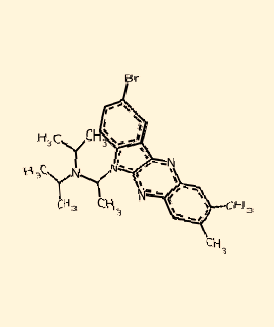 Cc1cc2nc3c4cc(Br)ccc4n(C(C)N(C(C)C)C(C)C)c3nc2cc1C